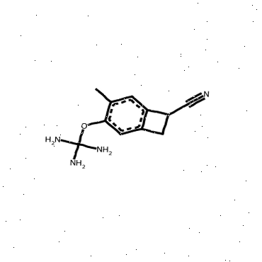 Cc1cc2c(cc1OC(N)(N)N)CC2C#N